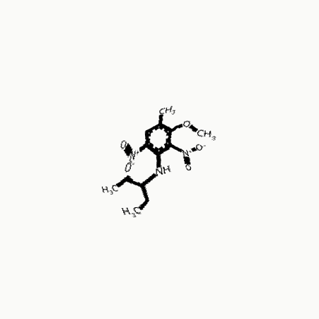 CCC(CC)Nc1c([N+](=O)[O-])cc(C)c(OC)c1[N+](=O)[O-]